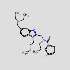 CCCCn1c(CN(CCC)C(=O)c2cccc(F)c2)nc2cc(CN(CC)CC)ccc21